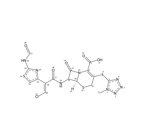 Cn1nnnc1SC1=C(C(=O)O)N2C(=O)C(NC(=O)C(=CCl)c3csc(NC=O)n3)[C@@H]2SC1